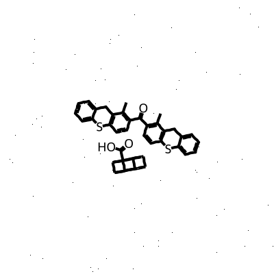 Cc1c(C(=O)c2ccc3c(c2C)Cc2ccccc2S3)ccc2c1Cc1ccccc1S2.O=C(O)C12C3C4C5C3C1C5C42